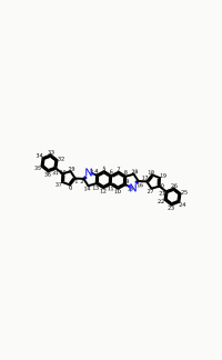 C1=C(C2=Nc3cc4cc5c(cc4cc3C2)N=C(C2=CC=C(c3ccccc3)C2)C5)CC(c2ccccc2)=C1